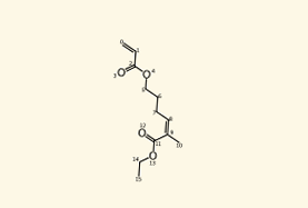 C=CC(=O)OCCCC=C(C)C(=O)OCC